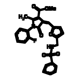 COC(=O)C1=C(C)N(c2ccccc2F)C(=O)C1=Cc1ccc(CNS(=O)(=O)c2ccccc2)o1